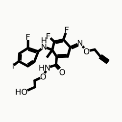 C#CCO/N=C1\C=C(C(=O)NOCCO)C(C)(Nc2ccc(I)cc2F)C(F)=C1F